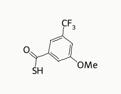 COc1cc(C(=O)S)cc(C(F)(F)F)c1